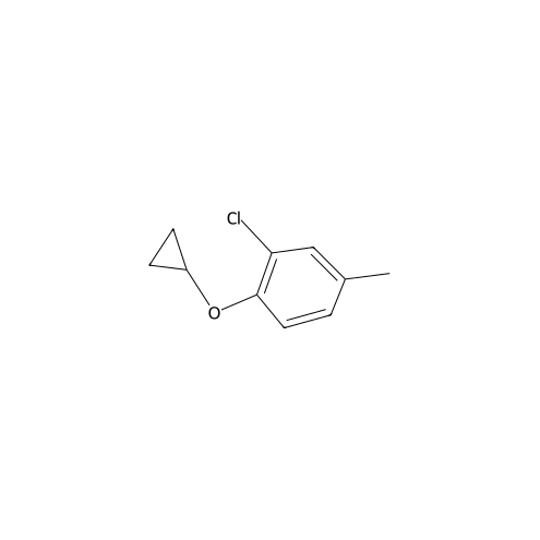 Cc1ccc(OC2CC2)c(Cl)c1